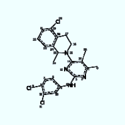 Cc1nc(Nc2ccc(Cl)c(Cl)c2)nc(N2CCc3c(Cl)cccc3C2C)c1C